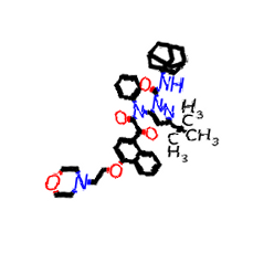 CC(C)(C)c1cc(N(C(=O)C(=O)c2ccc(OCCN3CCOCC3)c3ccccc23)c2ccccc2)n(C(=O)NC23CC4CC(CC(C4)C2)C3)n1